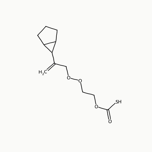 C=C(COOCCOC(=O)S)C1C2CCCC21